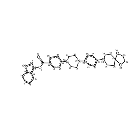 O=C(On1nnc2ccccc21)c1ccc(N2CCN(c3ccc(N4CCC5(CC4)OCCO5)cc3)CC2)cc1